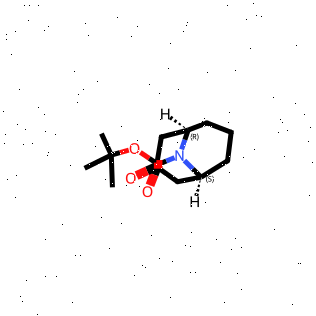 CC(C)(C)OC(=O)N1[C@@H]2CCC[C@H]1CC(=O)C2